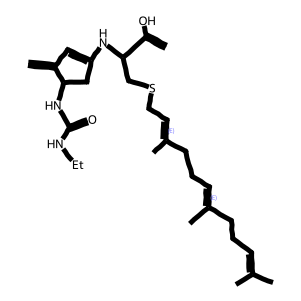 C=C(O)C(CSC/C=C(\C)CC/C=C(\C)CCC=C(C)C)NC1=CC(=C)C(NC(=O)NCC)C1